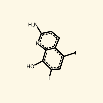 Nc1ccc2c(I)cc(I)c(O)c2n1